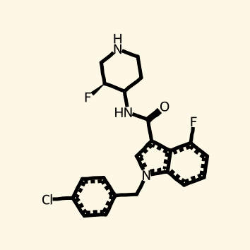 O=C(NC1CCNC[C@@H]1F)c1cn(Cc2ccc(Cl)cc2)c2cccc(F)c12